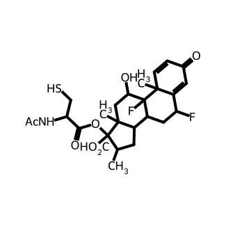 CC(=O)NC(CS)C(=O)OC1(C(=O)O)C(C)CC2C3CC(F)C4=CC(=O)C=CC4(C)C3(F)C(O)CC21C